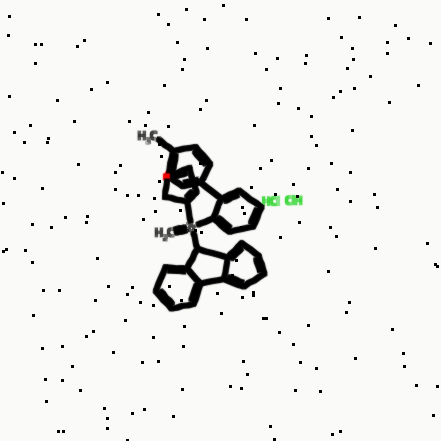 Cl.Cl.[CH2]=[Zr]([C]1=CC=CC1)([c]1ccccc1-c1ccc(C)cc1)[CH]1c2ccccc2-c2ccccc21